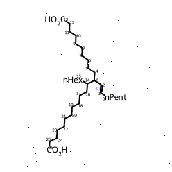 CCCCC/C=C/C(CCCCCCCCCC(=O)O)C(CCCCCC)CCCCCCCCCCC(=O)O